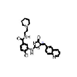 O=C1N=C(Nc2cc(C(=O)NCCN3CCCCC3)ccc2Cl)S/C1=C\c1ccc2ncccc2c1